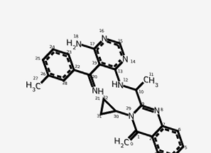 C=C1c2ccccc2N=C(C(C)Nc2ncnc(N)c2C(=N)c2cccc(C)c2)N1C1CC1